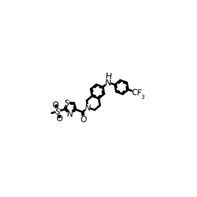 CS(=O)(=O)c1nc(C(=O)N2CCc3cc(Nc4ccc(C(F)(F)F)cc4)ccc3C2)cs1